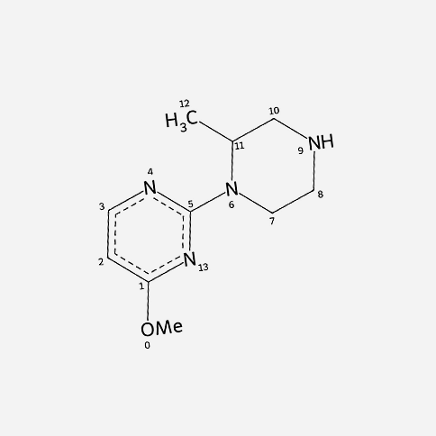 COc1ccnc(N2CCNCC2C)n1